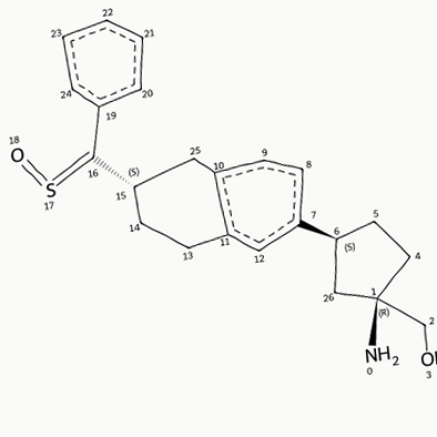 N[C@]1(CO)CC[C@H](c2ccc3c(c2)CC[C@H](C(=S=O)c2ccccc2)C3)C1